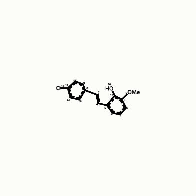 COc1cccc(C=Cc2ccc(Cl)cc2)c1O